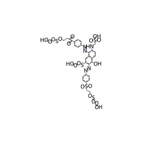 O=S(=O)(O)CNc1ccc2c(O)c(/N=N/c3ccc(S(=O)(=O)CCOSOOO)cc3)c(SOOO)cc2c1/N=N/c1ccc(S(=O)(=O)CCOSOOO)cc1